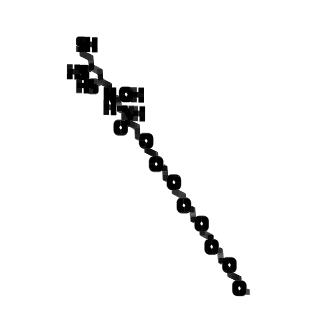 COCCOCCOCCOCCOCCOCCOCCOCCC(=O)NCC(O)NCC(S)CC(S)CCS